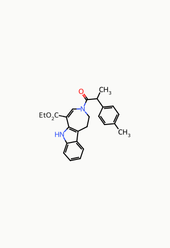 CCOC(=O)C1=CN(C(=O)C(C)c2ccc(C)cc2)CCc2c1[nH]c1ccccc21